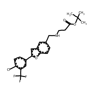 CC(C)(C)OC(=O)CCNCc1ccc2oc(-c3ccc(Cl)c(C(F)(F)F)c3)cc2c1